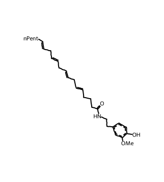 CCCCCC=CCC=CCC=CCC=CCCCC(=O)NCCc1ccc(O)c(OC)c1